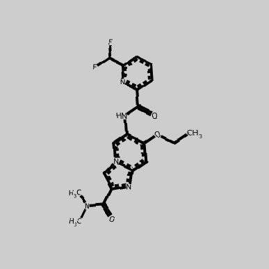 CCOc1cc2nc(C(=O)N(C)C)cn2cc1NC(=O)c1cccc(C(F)F)n1